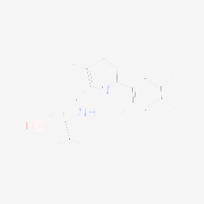 Cc1cc(C)c(-c2ccc(F)c(CN[C@@H](CO)C(C)C)n2)cc1C